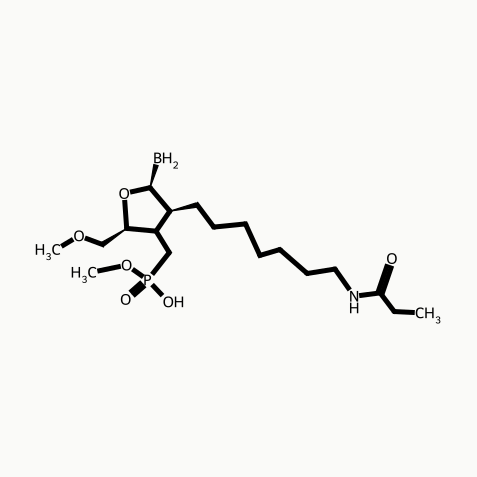 B[C@@H]1O[C@H](COC)C(CP(=O)(O)OC)[C@@H]1CCCCCCCNC(=O)CC